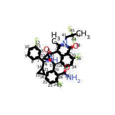 Cc1c(C(=O)N[C@H](c2cccc(F)c2)C2CC2)c2c([C@@H](c3cccc(F)c3C(N)=O)C3CC3)ccc(F)c2c(=O)n1CC(C)(F)F